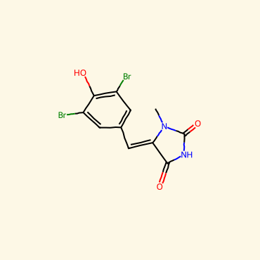 CN1C(=O)NC(=O)/C1=C/c1cc(Br)c(O)c(Br)c1